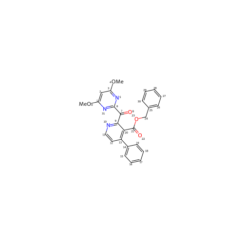 COc1cc(OC)nc(C(=O)c2nccc(-c3ccccc3)c2C(=O)OCc2ccccc2)n1